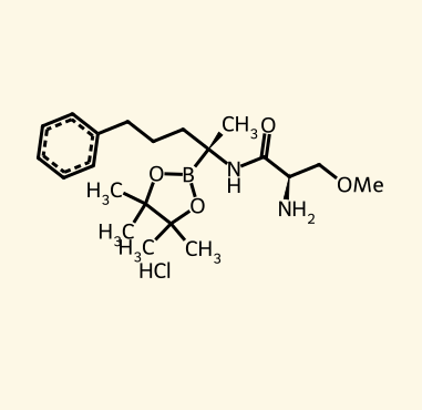 COC[C@@H](N)C(=O)N[C@@](C)(CCCc1ccccc1)B1OC(C)(C)C(C)(C)O1.Cl